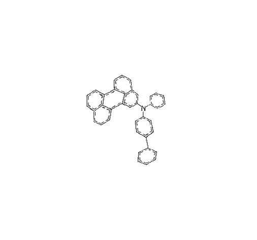 c1ccc(-c2ccc(N(c3ccccc3)c3cc4cccc5c6cccc7cccc(c(c3)c45)c76)cc2)cc1